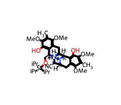 COc1c(C)c(OC)c2c(c1O)[C@@H]1[C@@H]3Cc4c(OC)c(C)c(OC)c(O)c4[C@H](CO[Si](C(C)C)(C(C)C)C(C)C)N3[C@@H](C#N)[C@H](C2)N1C